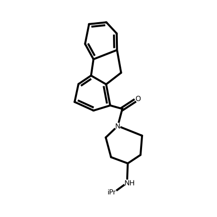 CC(C)NC1CCN(C(=O)c2cccc3c2Cc2ccccc2-3)CC1